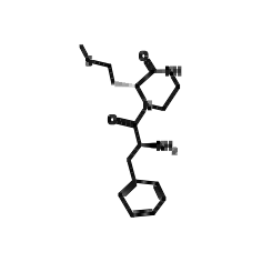 CSCC[C@@H]1C(=O)NCCN1C(=O)[C@@H](N)Cc1ccccc1